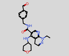 CCN1N=CCc2c1ncc(C(=O)NCc1ccc(C=O)cc1)c2NC1CCOCC1